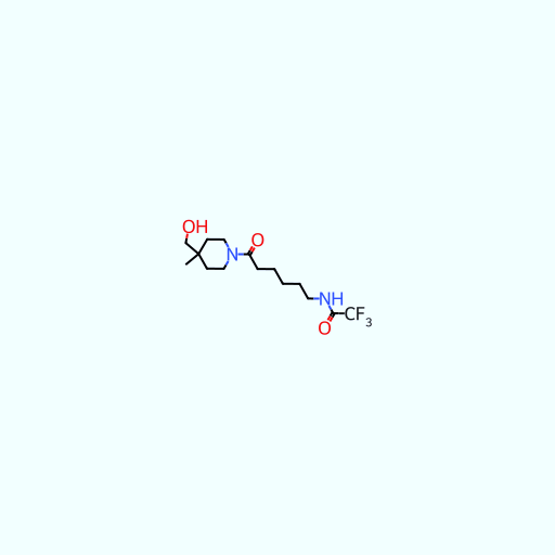 CC1(CO)CCN(C(=O)CCCCCNC(=O)C(F)(F)F)CC1